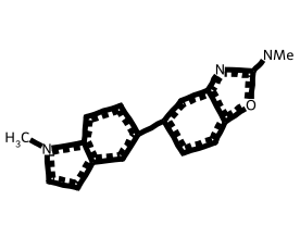 CNc1nc2cc(-c3ccc4c(ccn4C)c3)ccc2o1